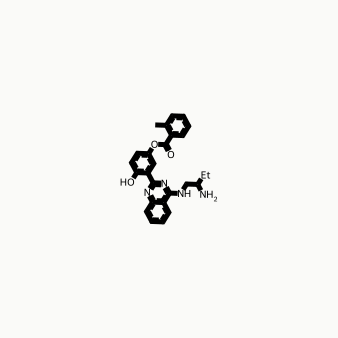 CCC(N)CNc1nc(-c2cc(OC(=O)c3ccccc3C)ccc2O)nc2ccccc12